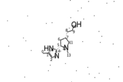 Cc1cnc([C@@H]2C[C@H](CCO)CN2C)[nH]1